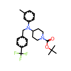 Cc1cccc(N(Cc2ccc(C(F)(F)F)cc2)C2CCN(C(=O)OC(C)(C)C)CC2)c1